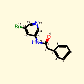 O=C(Cc1ccccc1)Nc1cncc(Br)c1